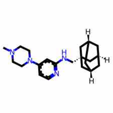 CN1CCN(c2ccnc(NC[C@]34C[C@H]5C[C@H](C[C@H](C5)C3)C4)c2)CC1